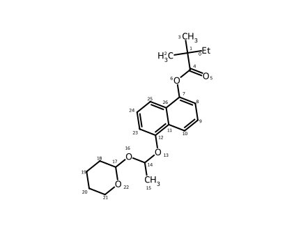 CCC(C)(C)C(=O)Oc1cccc2c(OC(C)OC3CCCCO3)cccc12